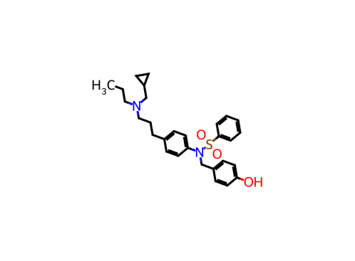 CCCN(CCCc1ccc(N(Cc2ccc(O)cc2)S(=O)(=O)c2ccccc2)cc1)CC1CC1